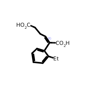 CCc1ccccc1/C(=C\CCC(=O)O)C(=O)O